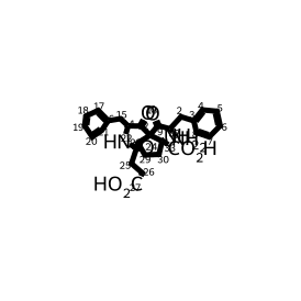 NC(Cc1ccccc1)C(=O)C1(C(=O)C(Cc2ccccc2)NC(=O)CCC(=O)O)CCCC1(N)C(=O)O